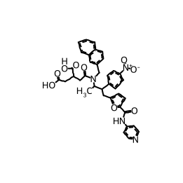 CC(C(Cc1ccc(C(=O)Nc2ccncc2)o1)c1ccc([N+](=O)[O-])cc1)N(Cc1ccc2ccccc2c1)C(=O)CC(CC(=O)O)C(=O)O